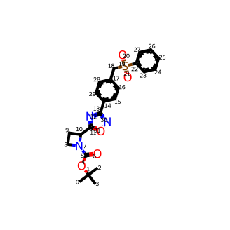 CC(C)(C)OC(=O)N1CCC1c1nc(-c2ccc(CS(=O)(=O)c3ccccc3)cc2)no1